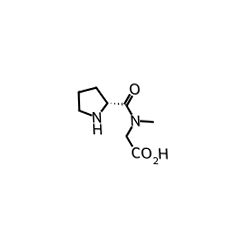 CN(CC(=O)O)C(=O)[C@H]1CCCN1